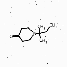 CCC(C)(C)N1CCC(=O)CC1